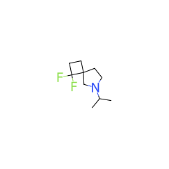 CC(C)N1CCC2(CCC2(F)F)C1